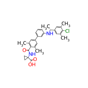 Cc1cc([C@@H](C)Nc2cccc(-c3cc(C)c(C(=O)NC4(C(=O)O)CC4)c(C)c3)c2)cc(C)c1Cl